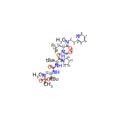 CN(CCc1ccccn1)C(=O)[C@H](CC(F)F)NC(=O)[C@@H]1CCCN1C(=O)[C@@H](NC(=O)N[C@H](CN(C)S(C)(=O)=O)C(C)(C)C)C(C)(C)C